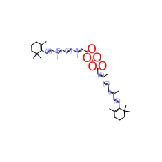 CC1=C(/C=C/C(C)=C/C=C/C(C)=C/C(=O)OC(=O)OC(=O)/C=C(C)/C=C/C=C(C)/C=C/C2=C(C)CCCC2(C)C)C(C)(C)CCC1